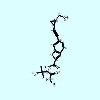 CC(C)(N)[C@H](NC(=O)c1cc2ccc(C#CC3C[C@H]3CO)cc2s1)C(=O)NO